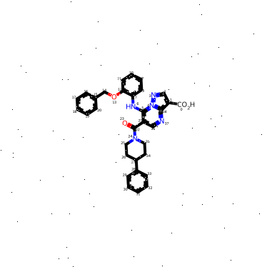 O=C(O)c1cnn2c(Nc3ccccc3OCc3ccccc3)c(C(=O)N3CCC(c4ccccc4)CC3)cnc12